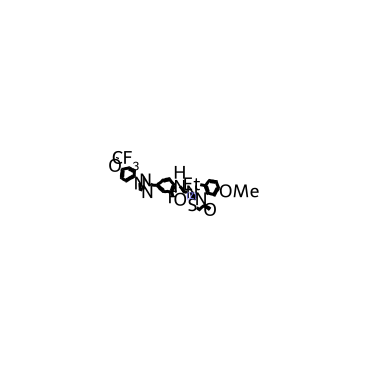 CCc1ccc(OC)cc1N1C(=O)CS/C1=N\C(=O)Nc1ccc(-c2ncn(-c3ccc(OC(F)(F)F)cc3)n2)cc1F